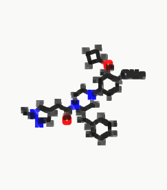 COc1ccc(N2CCN(C(=O)Cc3cnn(C)c3)C(Cc3ccccc3)C2)cc1OC1CCC1